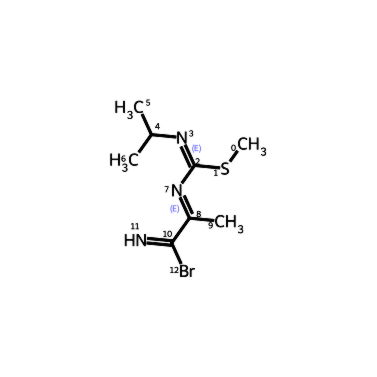 CSC(=N/C(C)C)/N=C(\C)C(=N)Br